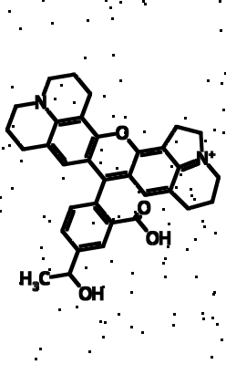 CC(O)c1ccc(C2=c3cc4c5c(c3Oc3c2cc2c6c3CCCN6CCC2)CC[N+]=5CCC4)c(C(=O)O)c1